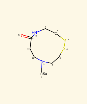 CCCCN1CCSSCCNC(=O)CC1